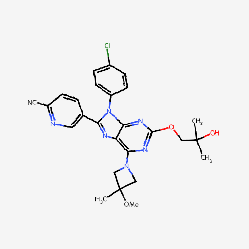 COC1(C)CN(c2nc(OCC(C)(C)O)nc3c2nc(-c2ccc(C#N)nc2)n3-c2ccc(Cl)cc2)C1